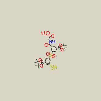 CC1(C)OB(c2cc(S)cc(S(=O)(=O)c3cc(B4OC(C)(C)C(C)(C)O4)cc(C(=O)NCC(=O)O)c3)c2)OC1(C)C